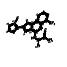 CC[C@@H](Nc1nc2c(C(F)(F)F)cccc2c2nc(-c3ccnn3C)nn12)C(N)=O